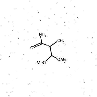 COC(OC)C(C)C(N)=O